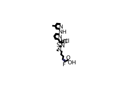 Cc1ccnc(Nc2cccc(-c3cnc(N(C)CCC/C=C(/F)C(=O)O)s3)n2)c1.Cl.Cl